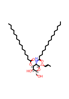 CC=CO[C@@H]1O[C@H](CO)[C@@H](O)[C@H](OC(=O)CCCCCCCCCCCCCCC)[C@H]1NC(=O)CCCCCCCCCCCCCCC